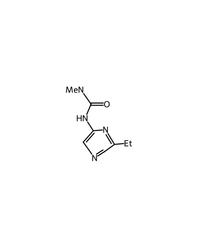 CCc1cncc(NC(=O)NC)n1